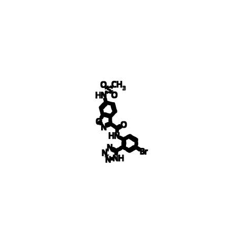 CS(=O)(=O)Nc1ccc2c(C(=O)Nc3ccc(Br)cc3-c3nnn[nH]3)noc2c1